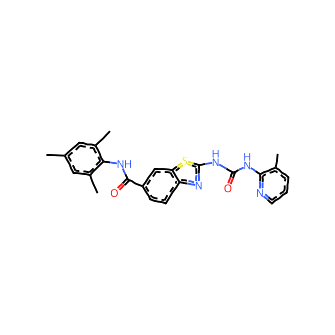 Cc1cc(C)c(NC(=O)c2ccc3nc(NC(=O)Nc4ncccc4C)sc3c2)c(C)c1